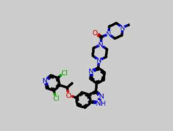 CC(Oc1ccc2[nH]nc(-c3ccc(N4CCN(C(=O)N5CCN(C)CC5)CC4)nc3)c2c1)c1c(Cl)cncc1Cl